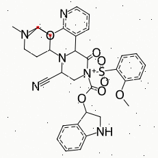 CCOc1ncccc1C1C(=O)[N+](C(=O)OC2CNc3ccccc32)(S(=O)(=O)c2ccccc2OC)CC(C#N)N1C1CCN(C)CC1